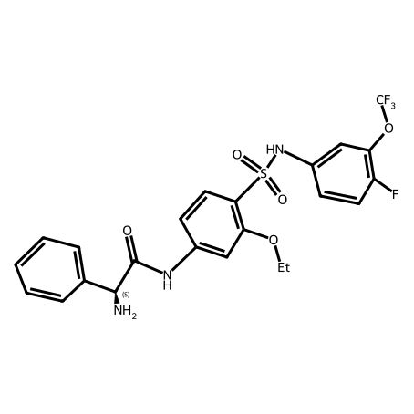 CCOc1cc(NC(=O)[C@@H](N)c2ccccc2)ccc1S(=O)(=O)Nc1ccc(F)c(OC(F)(F)F)c1